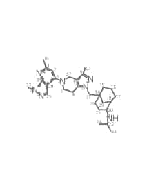 Cc1cc(N2CCc3c(c(C)nn3CC34CCCC(C3)C(NC(C)C)CC4)C2)c2cnn(C)c2n1